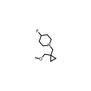 COCC1(CN2CCC(F)CC2)CC1